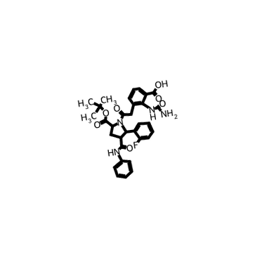 CC(C)(C)OC(=O)C1CC(C(=O)Nc2ccccc2)C(c2ccccc2F)N1C(=O)Cc1cccc(C(=O)O)c1NC(N)=O